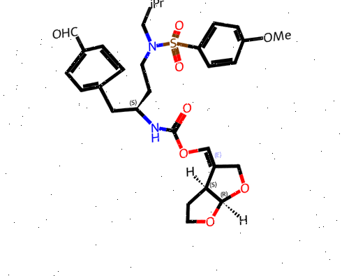 COc1ccc(S(=O)(=O)N(CC[C@H](Cc2ccc(C=O)cc2)NC(=O)O/C=C2/CO[C@H]3OCC[C@@H]23)CC(C)C)cc1